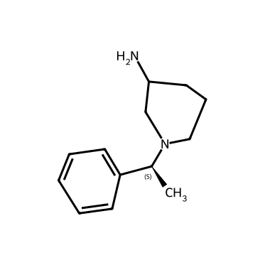 C[C@@H](c1ccccc1)N1CCCC(N)C1